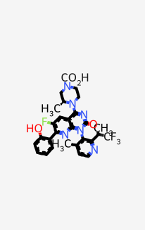 Cc1ccnc(C(C)C(F)(F)F)c1-n1c(=O)nc(N2CCN(C(=O)O)C[C@@H]2C)c2cc(F)c(-c3ccccc3O)nc21